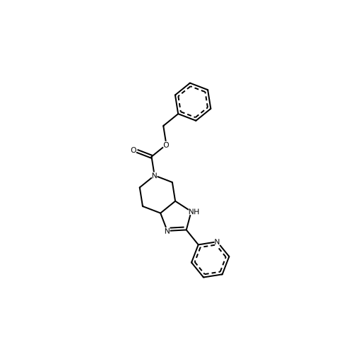 O=C(OCc1ccccc1)N1CCC2N=C(c3ccccn3)NC2C1